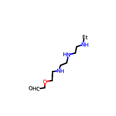 CCNCCNCCNCCOCC=O